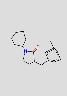 Cc1cccc(CC2CCN(C3CCCCC3)C2=O)c1